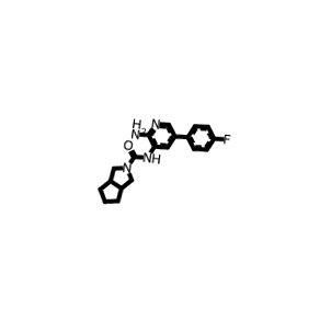 Nc1ncc(-c2ccc(F)cc2)cc1NC(=O)N1CC2CCCC2C1